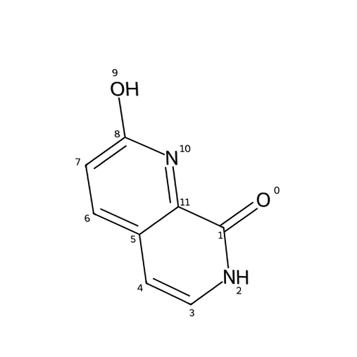 O=c1[nH]ccc2ccc(O)nc12